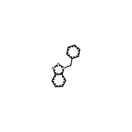 c1ccc(Cn2nnc3ccccc32)cc1